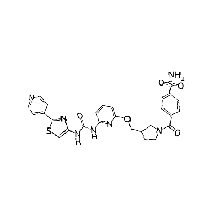 NS(=O)(=O)c1ccc(C(=O)N2CCC(COc3cccc(NC(=O)Nc4csc(-c5ccncc5)n4)n3)C2)cc1